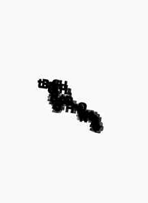 CC(C)(C)[Si](C)(C)Oc1ccc2c(c1)CC[C@H](c1ccccc1)[C@@H]2c1ccc(OCCCCNC(=O)c2ccnc(N3CCC4(CCN(c5ccccc5)C4)C3)c2)cc1